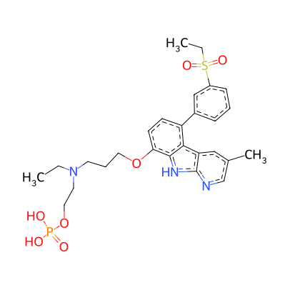 CCN(CCCOc1ccc(-c2cccc(S(=O)(=O)CC)c2)c2c1[nH]c1ncc(C)cc12)CCOP(=O)(O)O